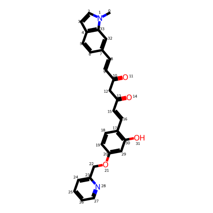 Cn1ccc2ccc(C=CC(=O)CC(=O)C=Cc3ccc(OCc4ccccn4)cc3O)cc21